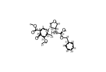 COC(=O)c1cn([C@@H]2COC[C@@H]2NC(=O)OCc2ccccc2)c(C)c(OC)c1=O